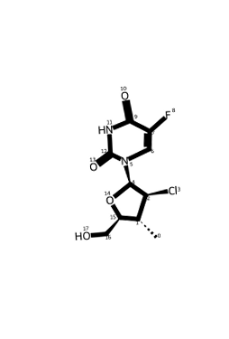 C[C@H]1[C@H](Cl)[C@H](n2cc(F)c(=O)[nH]c2=O)O[C@@H]1CO